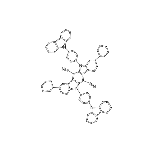 N#Cc1c2c3ccc(-c4ccccc4)cc3n(-c3ccc(-n4c5ccccc5c5ccccc54)cc3)c2c(C#N)c2c3cc(-c4ccccc4)ccc3n(-c3ccc(-n4c5ccccc5c5ccccc54)cc3)c12